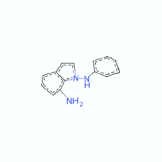 Nc1cccc2ccn(Nc3ccccc3)c12